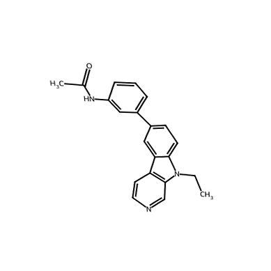 CCn1c2ccc(-c3cccc(NC(C)=O)c3)cc2c2ccncc21